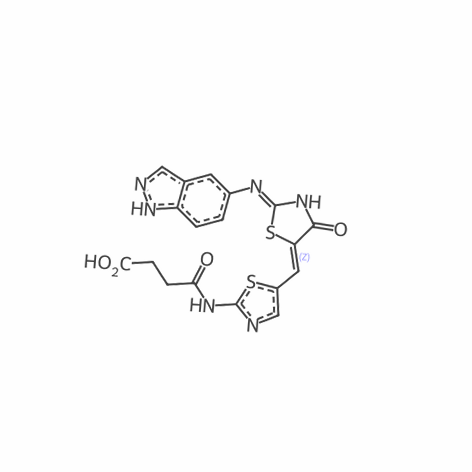 O=C(O)CCC(=O)Nc1ncc(/C=C2\SC(=Nc3ccc4[nH]ncc4c3)NC2=O)s1